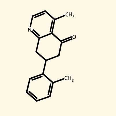 Cc1ccccc1C1CC(=O)c2c(C)ccnc2C1